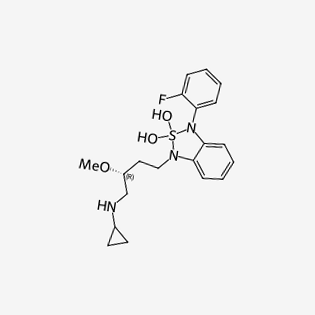 CO[C@H](CCN1c2ccccc2N(c2ccccc2F)S1(O)O)CNC1CC1